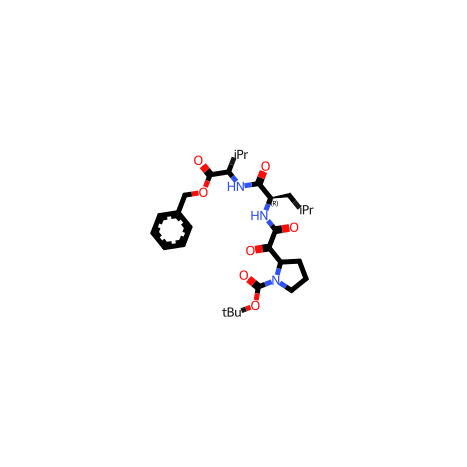 CC(C)C[C@@H](NC(=O)C(=O)C1CCCN1C(=O)OC(C)(C)C)C(=O)NC(C(=O)OCc1ccccc1)C(C)C